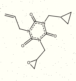 C=CCn1c(=O)n(CC2CC2)c(=O)n(CC2CO2)c1=O